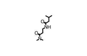 CC(C)CC(=O)NCCC(=O)N(C)C